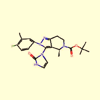 Cc1cc(-n2nc3c(c2-n2cc[nH]c2=O)[C@H](C)N(C(=O)OC(C)(C)C)CC3)ccc1F